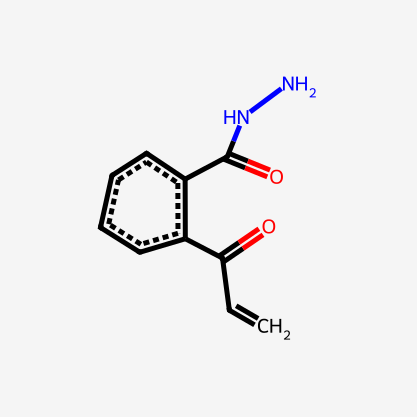 C=CC(=O)c1ccccc1C(=O)NN